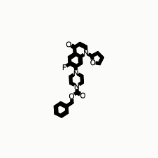 O=C(OCc1ccccc1)N1CCN(c2cc3c(cc2F)c(=O)ccn3C2CCCO2)CC1